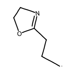 [CH2]CCC1=NCCO1